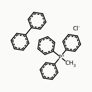 C[P+](c1ccccc1)(c1ccccc1)c1ccccc1.[Cl-].c1ccc(-c2ccccc2)cc1